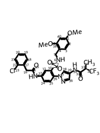 COc1ccc(CNS(=O)(=O)c2cc(NC(=O)Cc3ccccc3Cl)ccc2-n2cc(NC(=O)[C@@H](C)C(F)(F)F)cn2)c(OC)c1